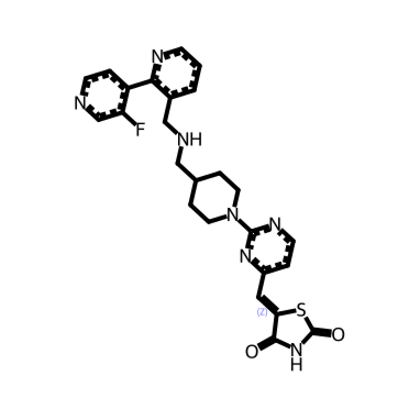 O=C1NC(=O)/C(=C/c2ccnc(N3CCC(CNCc4cccnc4-c4ccncc4F)CC3)n2)S1